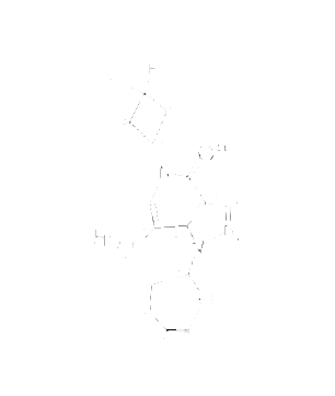 O=C(O)c1cn(C2CC(F)(F)C2)c(=O)c2cnn(C3CCCCO3)c12